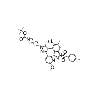 COc1ccc(-c2nn(C3CC4(C3)CN(C(=O)OC(C)(C)C)C4)c(C)c2-c2c(Cl)c(C)cc3c2cnn3S(=O)(=O)c2ccc(C)cc2)cn1